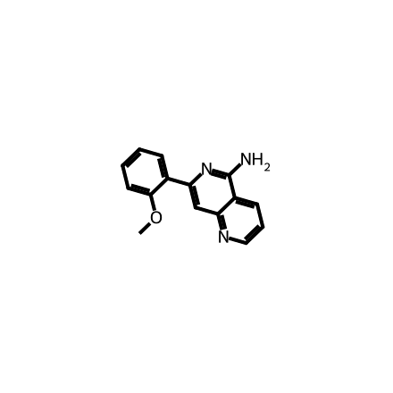 COc1ccccc1-c1cc2ncccc2c(N)n1